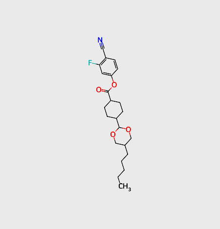 CCCCCC1COC(C2CCC(C(=O)Oc3ccc(C#N)c(F)c3)CC2)OC1